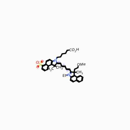 CC[N+]1=C(/C=C/C=C/C=C2/N(CCCCCC(=O)O)c3ccc4c(S(=O)(=O)[O-])cccc4c3C2(C)C)C(C)(CCOC)c2c1ccc1ccccc21